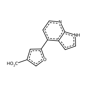 O=C(O)c1coc(-c2ccnc3[nH]ccc23)c1